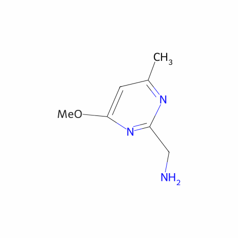 COc1cc(C)nc(CN)n1